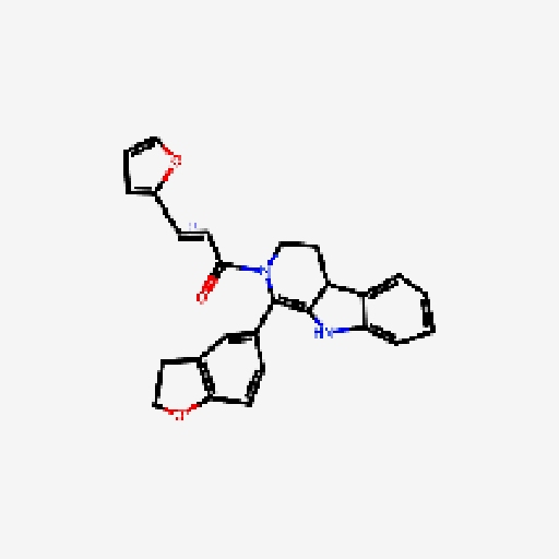 O=C(/C=C/c1ccco1)N1CCC2C(=C1c1ccc3c(c1)CCO3)Nc1ccccc12